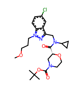 COCCCn1nc(CN(C(=O)[C@H]2CN(C(=O)OC(C)(C)C)CCO2)C2CC2)c2cc(Cl)ccc21